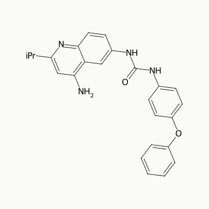 CC(C)c1cc(N)c2cc(NC(=O)Nc3ccc(Oc4ccccc4)cc3)ccc2n1